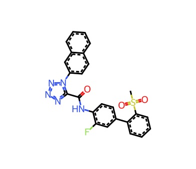 CS(=O)(=O)c1ccccc1-c1ccc(NC(=O)c2nnnn2-c2ccc3ccccc3c2)c(F)c1